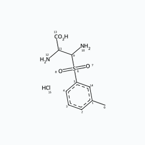 Cc1cccc(S(=O)(=O)C(N)C(N)C(=O)O)c1.Cl